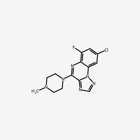 CN1CCN(c2nc3c(F)cc(Cl)cc3n3ncnc23)CC1